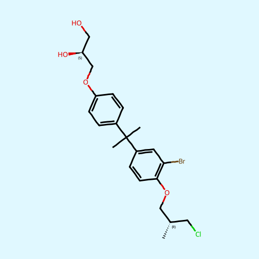 C[C@@H](CCl)COc1ccc(C(C)(C)c2ccc(OC[C@@H](O)CO)cc2)cc1Br